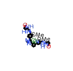 COc1cc(-c2ncnc(-c3cccc(-c4ccc(CNC[C@@H]5CCC(=O)N5)c(OC)n4)c3Cl)c2Cl)ccc1CNC[C@H]1CCC(=O)N1